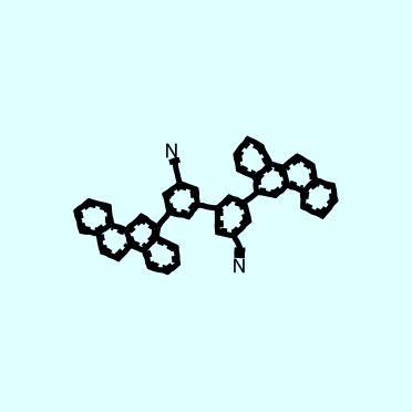 N#Cc1cc(-c2cc(C#N)cc(-c3cc4c5ccccc5ccc4c4ccccc34)c2)cc(-c2cc3c4ccccc4ccc3c3ccccc23)c1